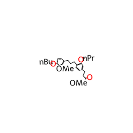 CCCCOc1ccc(CCCc2ccc(CCC(=O)OC)cc2OCCC)cc1OC